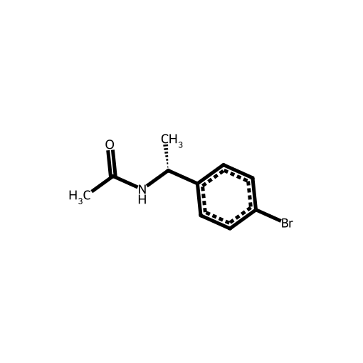 CC(=O)N[C@H](C)c1ccc(Br)cc1